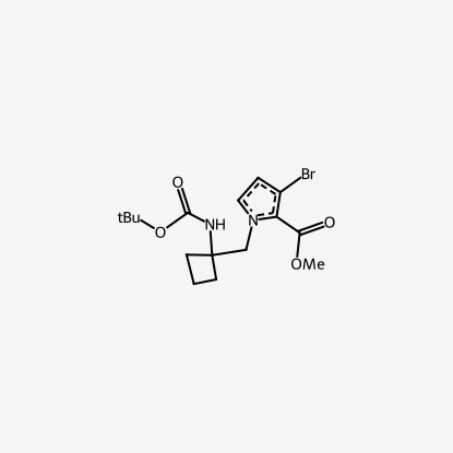 COC(=O)c1c(Br)ccn1CC1(NC(=O)OC(C)(C)C)CCC1